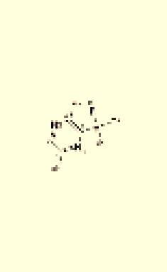 Fc1cnc(F)c(C(F)(F)F)n1